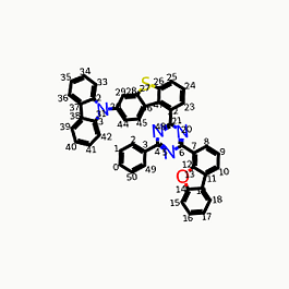 c1ccc(-c2nc(-c3cccc4c3oc3ccccc34)nc(-c3cccc4sc5cc(-n6c7ccccc7c7ccccc76)ccc5c34)n2)cc1